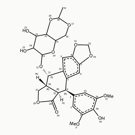 COc1cc([C@@H]2c3cc4c(cc3[C@@H](OC3OC5COC(C)OC5C(O)C3O)[C@H]3COC(=O)[C@H]23)OCO4)cc(OC)c1O